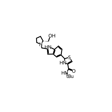 CC(C)(C)NC(=O)C1=CSC(c2ccc3[nH]c(CN4CCC[C@@H]4CO)cc3c2)N1